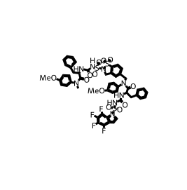 COc1ccc(N(C)C(=O)C(Cc2ccccc2)NC(=O)NS(=O)(=O)N2Cc3cc(CN(C(=O)C(Cc4ccccc4)NC(=O)NS(=O)(=O)n4ccc5c(F)c(F)c(F)c(F)c54)c4ccc(OC)cc4)ccc3S2(=O)=O)cc1